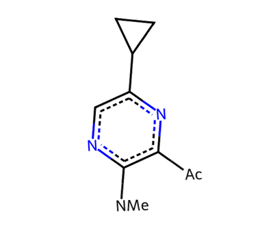 CNc1ncc(C2CC2)nc1C(C)=O